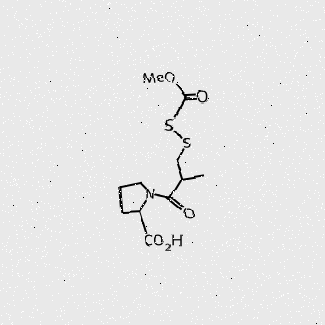 COC(=O)SSCC(C)C(=O)N1CCCC1C(=O)O